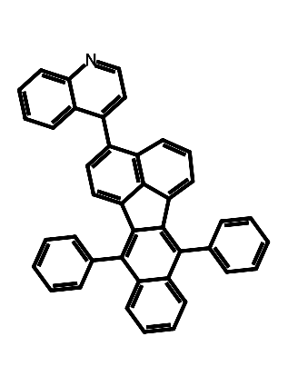 c1ccc(-c2c3c(c(-c4ccccc4)c4ccccc24)-c2ccc(-c4ccnc5ccccc45)c4cccc-3c24)cc1